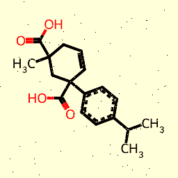 CC(C)c1ccc(C2(C(=O)O)C=CCC(C)(C(=O)O)C2)cc1